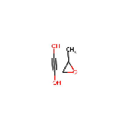 CC1CO1.OC#CO